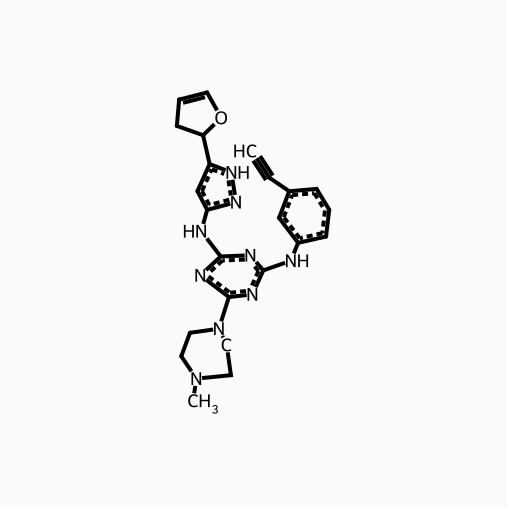 C#Cc1cccc(Nc2nc(Nc3cc(C4CC=CO4)[nH]n3)nc(N3CCN(C)CC3)n2)c1